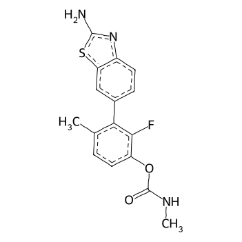 CNC(=O)Oc1ccc(C)c(-c2ccc3nc(N)sc3c2)c1F